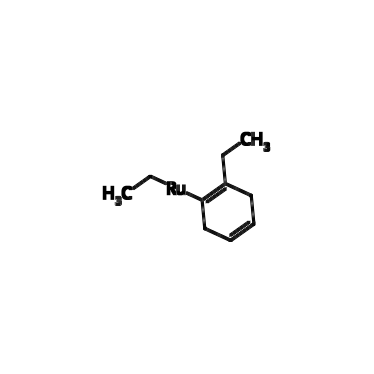 C[CH2][Ru][C]1=C(CC)CC=CC1